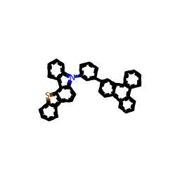 c1cc(-c2ccc3c4ccccc4c4ccccc4c3c2)cc(-n2c3ccccc3c3c4sc5ccccc5c4ccc32)c1